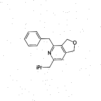 CC(C)Cc1[c]c2c(c(Cc3ccccc3)n1)COC2